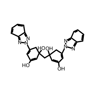 OC1=CC(O)(CC2(O)C=C(O)C=C(n3nc4ccccc4n3)C2)CC(n2nc3ccccc3n2)=C1